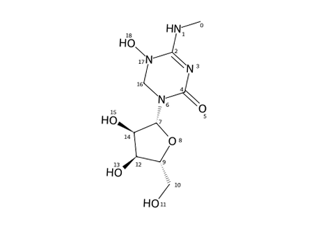 CNC1=NC(=O)N([C@@H]2O[C@H](CO)[C@@H](O)[C@H]2O)CN1O